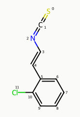 S=C=NC=Cc1ccccc1Cl